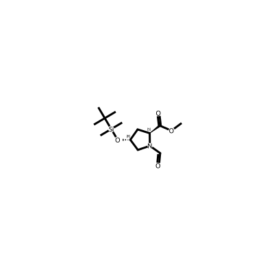 COC(=O)[C@@H]1C[C@@H](O[Si](C)(C)C(C)(C)C)CN1C=O